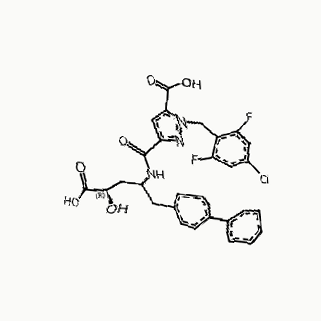 O=C(NC(Cc1ccc(-c2ccccc2)cc1)C[C@@H](O)C(=O)O)c1cc(C(=O)O)n(Cc2c(F)cc(Cl)cc2F)n1